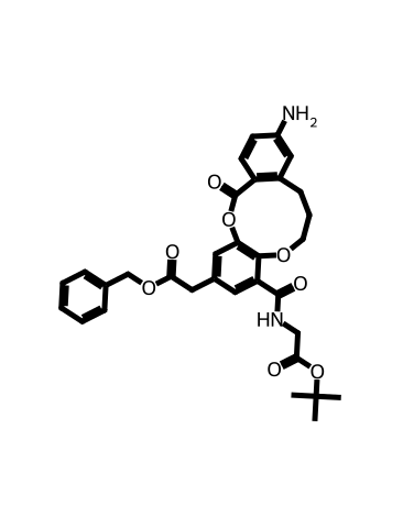 CC(C)(C)OC(=O)CNC(=O)c1cc(CC(=O)OCc2ccccc2)cc2c1OCCCc1cc(N)ccc1C(=O)O2